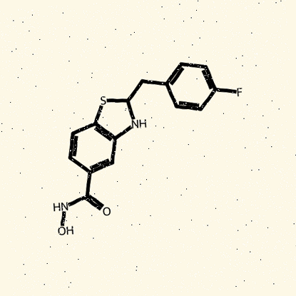 O=C(NO)c1ccc2c(c1)NC(Cc1ccc(F)cc1)S2